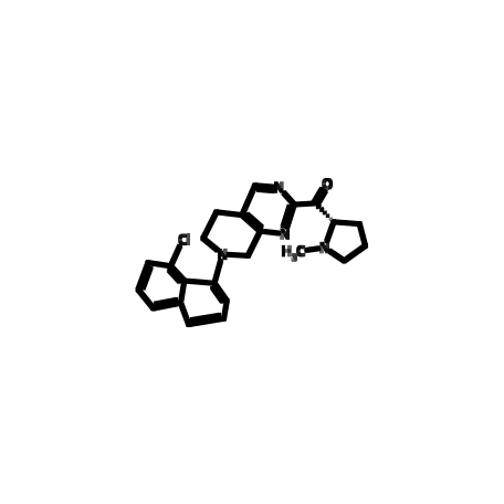 CN1CCC[C@H]1C(=O)c1ncc2c(n1)CN(c1cccc3cccc(Cl)c13)CC2